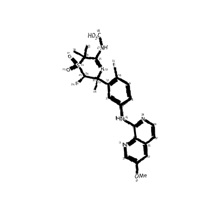 COc1cnc2c(Nc3ccc(F)c([C@@]4(C)N=C(NC(=O)O)C(C)(C)S(=O)(=O)[C@@H]4F)c3)nccc2c1